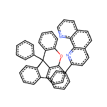 c1ccc(C2(c3ccccc3-c3cccc(-c4ccc5ccc6cccnc6c5n4)c3)c3ccccc3Oc3ccccc32)cc1